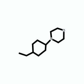 CCC1CCC(N2CCOCC2)CC1